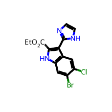 CCOC(=O)c1[nH]c2cc(Br)c(Cl)cc2c1-c1ncc[nH]1